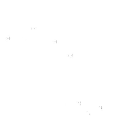 Cn1nnc(-c2ccccc2)c1CCC(O)CC(O)CC(=O)O